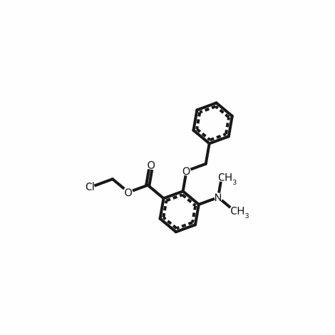 CN(C)c1cccc(C(=O)OCCl)c1OCc1ccccc1